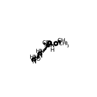 CN(C)[C@H]1CC[C@H](Nc2cccc3c2cc(C#CCNc2ccc(C(=O)Nc4cccnc4)nc2)n3CC(F)(F)F)CC1